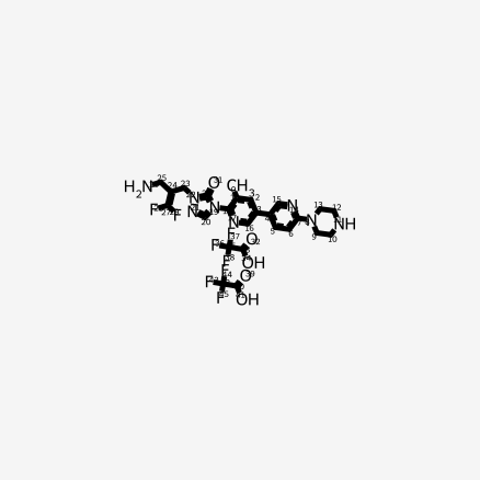 Cc1cc(-c2ccc(N3CCNCC3)nc2)cnc1-n1cnn(CC(CN)=C(F)F)c1=O.O=C(O)C(F)(F)F.O=C(O)C(F)(F)F